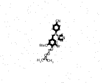 COc1cc(CN(c2ccc(C#N)cc2)n2cnnc2)cc(Br)c1OSOON(C)C